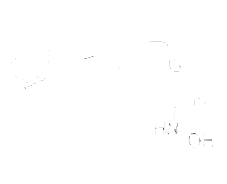 O=C(Cc1occc1CCCCc1ccccc1)NO